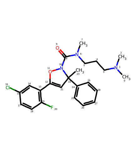 CN(C)CCCN(C)C(=O)N1OC(c2cc(Cl)ccc2F)=CC1(C)c1ccccc1